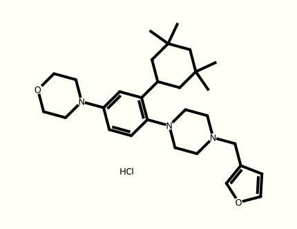 CC1(C)CC(c2cc(N3CCOCC3)ccc2N2CCN(Cc3ccoc3)CC2)CC(C)(C)C1.Cl